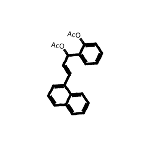 CC(=O)Oc1ccccc1C(C=Cc1cccc2ccccc12)OC(C)=O